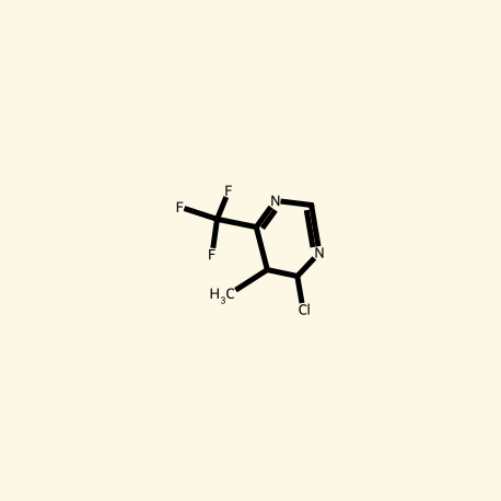 CC1C(C(F)(F)F)=NC=NC1Cl